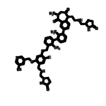 Cc1c(COc2cc(OCc3cncc(C#N)c3)c(CNCC3CCC(=O)N3)cc2Cl)cccc1-c1cccc(-c2ccc3c(c2)C(=O)N(C)CC(=O)N3CCNCC2CCC(=O)N2)c1C